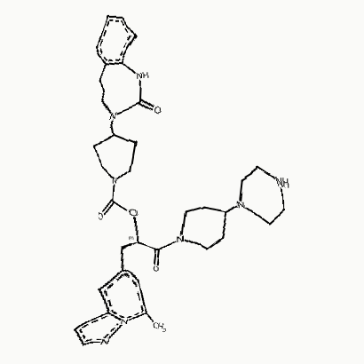 Cc1cc(C[C@@H](OC(=O)N2CCC(N3CCc4ccccc4NC3=O)CC2)C(=O)N2CCC(N3CCNCC3)CC2)cc2ccnn12